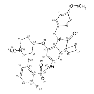 COc1ccc(CN2C(=O)C3(CCC3)c3cc(NS(=O)(=O)c4c(F)cccc4F)cc(OC4CCN(C)CC4)c32)cc1